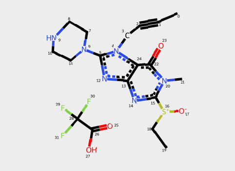 CC#CCn1c(N2CCNCC2)nc2nc([S+]([O-])CC)n(C)c(=O)c21.O=C(O)C(F)(F)F